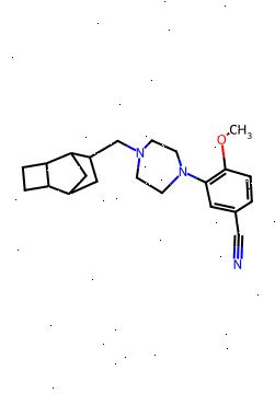 COc1ccc(C#N)cc1N1CCN(CC2CC3CC2C2CCC32)CC1